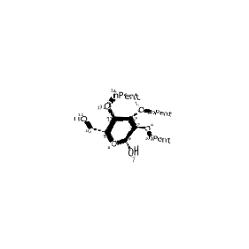 CCCCCO[C@@H]1[C@@H](OCCCCC)[C@H](O)O[C@H](CO)[C@H]1OCCCCC